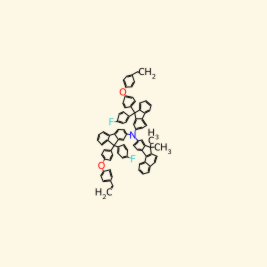 C=Cc1ccc(Oc2ccc(C3(c4ccc(F)cc4)c4ccccc4-c4ccc(N(c5ccc6c(c5)C(C)(C)c5ccc7ccccc7c5-6)c5ccc6c(c5)C(c5ccc(F)cc5)(c5ccc(Oc7ccc(C=C)cc7)cc5)c5ccccc5-6)cc43)cc2)cc1